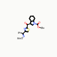 CO/N=C(/c1csc(C(=O)c2cn(C(=O)OC(C)(C)C)c3ccccc23)n1)C(C)C